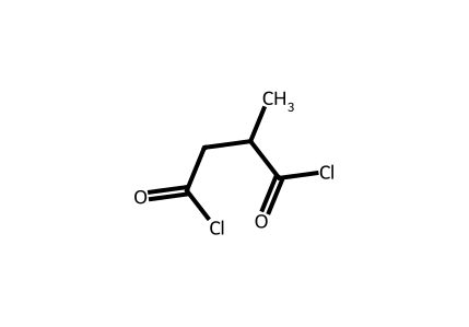 CC(CC(=O)Cl)C(=O)Cl